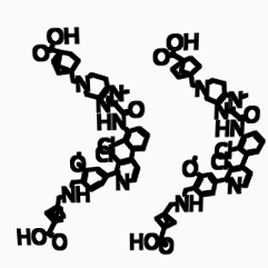 COc1cc(-c2nccc(-c3cccc(NC(=O)c4nc5c(n4C)CCN(CC46CCC(C(=O)O)(CC4)C6)C5)c3Cl)c2Cl)ccc1CNCC12CC(C(=O)O)(C1)C2.COc1cc(-c2nccc(-c3cccc(NC(=O)c4nc5c(n4C)CCN(CC46CCC(C(=O)O)(CC4)C6)C5)c3Cl)c2Cl)ccc1CNCC12CC(C(=O)O)(C1)C2